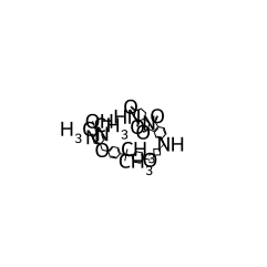 CC(C)(O)c1ncc(Oc2ccc(C(C)(C)c3ccc(O[C@H]4C[C@H](Nc5ccc6c(c5)C(=O)N(C5CCC(=O)NC5=O)C6=O)C4)cc3)cc2)cn1